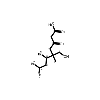 CC(CO)(CC(=O)CC(=O)O)C(Br)CC(Br)Br